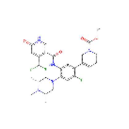 CC(C)OC(=O)N1CCC=C(c2cc(NC(=O)c3c[nH]c(=O)cc3C(F)F)c(N3C[C@@H](C)N(C)[C@@H](C)C3)cc2F)C1